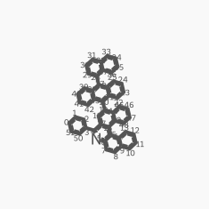 c1ccc(-c2nc3ccc4ccccc4c3c3c2cc(-c2c4ccccc4c(-c4cccc5ccccc45)c4ccccc24)c2ccccc23)cc1